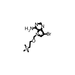 C[Si](C)(C)CCOCn1cc(Br)c2ncnc(N)c21